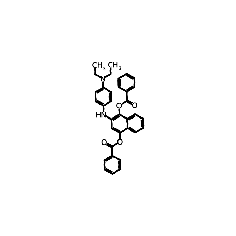 CCN(CC)c1ccc(Nc2cc(OC(=O)c3ccccc3)c3ccccc3c2OC(=O)c2ccccc2)cc1